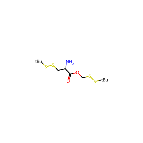 CC(C)(C)SSCOC(=O)[C@@H](N)CSSC(C)(C)C